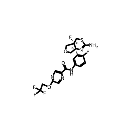 NC1=N[C@@]2(c3cc(NC(=O)c4cnc(OCC(F)(F)F)cn4)ccc3F)COC[C@@]2(F)CS1